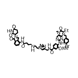 CC[C@@H]1C(=O)N(C)c2cnc(Nc3ccc(C(=O)NCc4cn(CCNCCCC(=O)Nc5cccc6c5CN(C5CCC(=O)NC5=O)C6=O)nn4)cc3OC)nc2N1Cc1ccc(Br)cc1